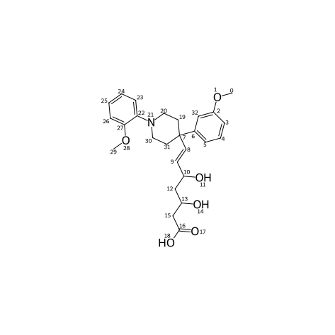 COc1cccc(C2(/C=C/C(O)CC(O)CC(=O)O)CCN(c3ccccc3OC)CC2)c1